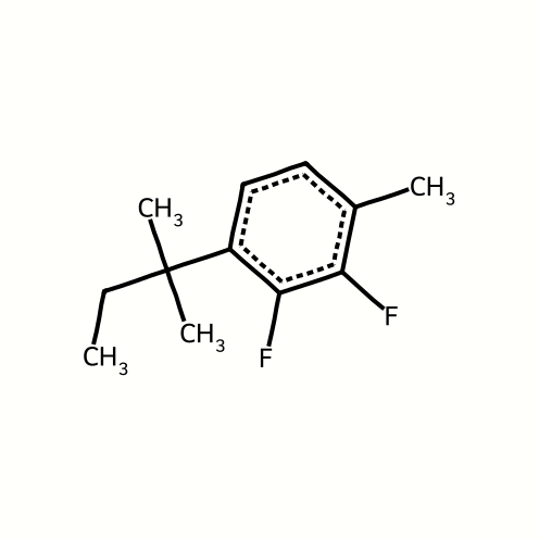 CCC(C)(C)c1ccc(C)c(F)c1F